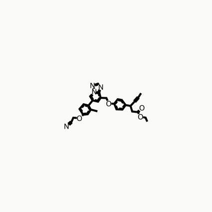 CC#CC(CC(=O)OCC)c1ccc(OCc2cc(-c3ccc(OCC#N)cc3C)cn3ncnc23)cc1